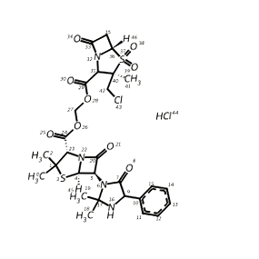 CC1(C)S[C@@H]2[C@H](N3C(=O)C(c4ccccc4)NC3(C)C)C(=O)N2[C@H]1C(=O)OCOC(=O)C1N2C(=O)C[C@@H]2S(=O)(=O)[C@@]1(C)CCl.Cl